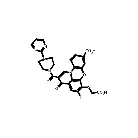 O=C(O)CSc1c(F)cc2c(=O)c(C(=O)N3CCN(c4ncccn4)CC3)cn3c2c1Oc1cc(C(=O)O)ccc1-3